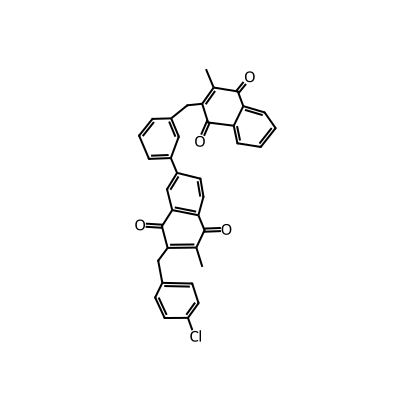 CC1=C(Cc2cccc(-c3ccc4c(c3)C(=O)C(Cc3ccc(Cl)cc3)=C(C)C4=O)c2)C(=O)c2ccccc2C1=O